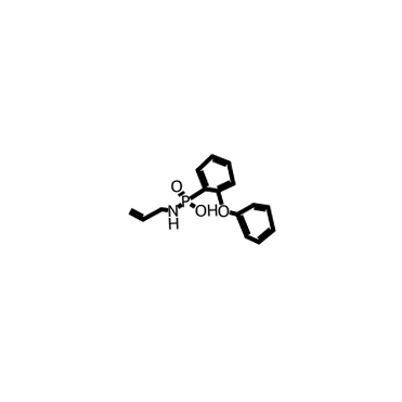 C=CCNP(=O)(O)c1ccccc1Oc1ccccc1